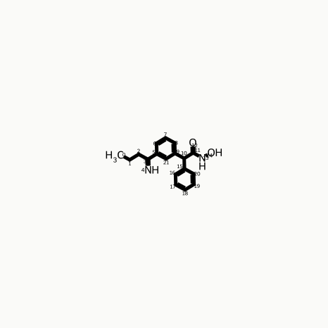 CCCC(=N)c1cccc(C(C(=O)NO)c2ccccc2)c1